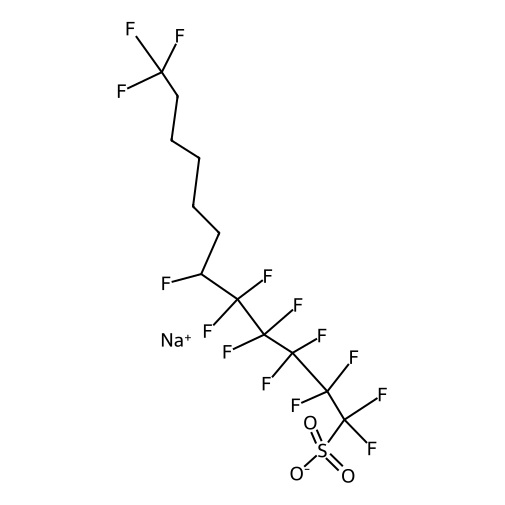 O=S(=O)([O-])C(F)(F)C(F)(F)C(F)(F)C(F)(F)C(F)(F)C(F)CCCCCC(F)(F)F.[Na+]